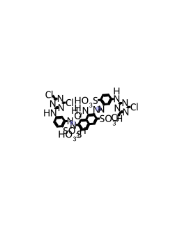 Nc1c(/N=N/c2cc(Nc3nc(Cl)nc(Cl)n3)ccc2S(=O)(=O)O)c(S(=O)(=O)O)cc2cc(S(=O)(=O)O)c(/N=N/c3cc(Nc4nc(Cl)nc(Cl)n4)ccc3S(=O)(=O)O)c(O)c12